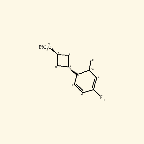 CCOC(=O)[C@H]1C[C@@H](C2C=CC(F)=CC2C)C1